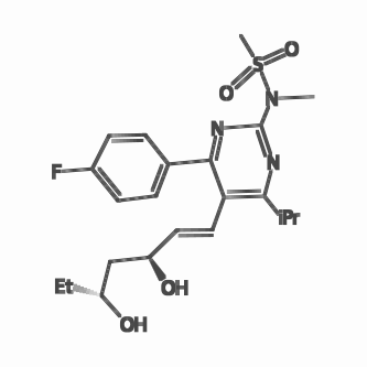 CC[C@@H](O)C[C@H](O)C=Cc1c(-c2ccc(F)cc2)nc(N(C)S(C)(=O)=O)nc1C(C)C